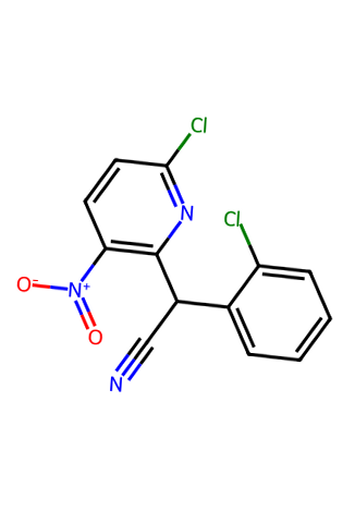 N#CC(c1ccccc1Cl)c1nc(Cl)ccc1[N+](=O)[O-]